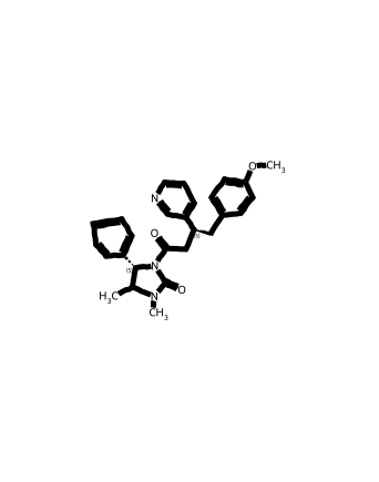 COc1ccc(C[C@@H](CC(=O)N2C(=O)N(C)C(C)[C@@H]2c2ccccc2)c2cccnc2)cc1